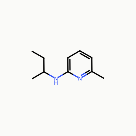 CCC(C)Nc1cccc(C)n1